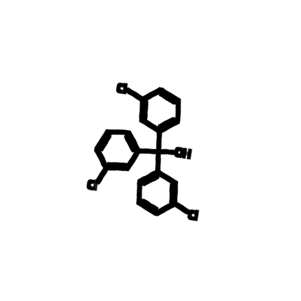 OC(c1cccc(Cl)c1)(c1cccc(Cl)c1)c1cccc(Cl)c1